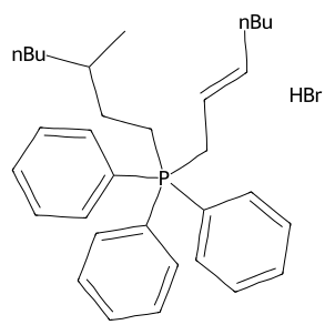 Br.CCCCC=CCP(CCC(C)CCCC)(c1ccccc1)(c1ccccc1)c1ccccc1